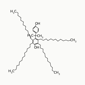 CCCCCCCCCCCCCc1c(O)c(CCCCCCCCCCCCC)c(CCCCCCCCCCCCC)c(C(C)(C)c2ccc(O)cc2)c1CCCCCCCCCCCCC